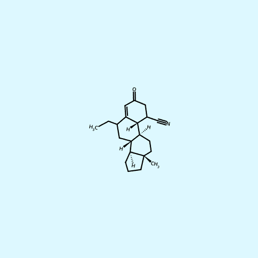 CCC1C[C@@H]2[C@H](CC[C@]3(C)CCC[C@@H]23)[C@@H]2C1=CC(=O)CC2C#N